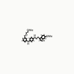 COCCOCc1cc(Nc2ccc(NCCc3c[nH]c4cc(OC)ccc34)cc2)ccn1